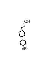 CCC[C@H]1CC[C@H](C2CCC(CCCO)CC2)CC1